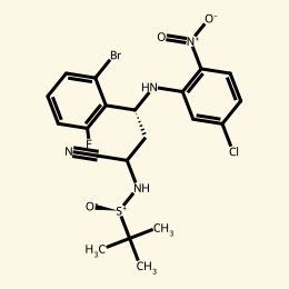 CC(C)(C)[S@@+]([O-])NC(C#N)C[C@@H](Nc1cc(Cl)ccc1[N+](=O)[O-])c1c(F)cccc1Br